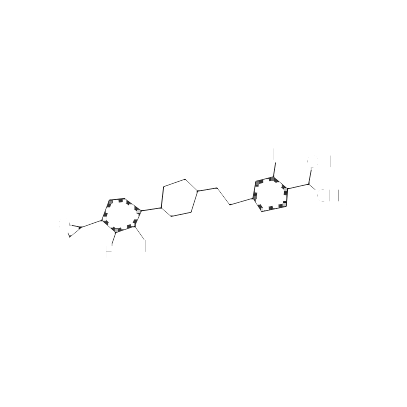 CC(O)c1ccc(CCC2CCC(c3ccc(C4CO4)c(F)c3F)CC2)cc1F